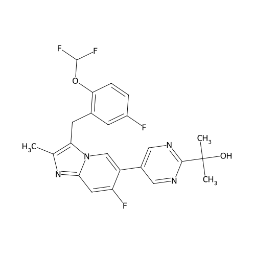 Cc1nc2cc(F)c(-c3cnc(C(C)(C)O)nc3)cn2c1Cc1cc(F)ccc1OC(F)F